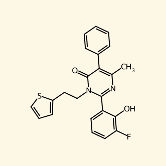 Cc1nc(-c2cccc(F)c2O)n(CCc2cccs2)c(=O)c1-c1ccccc1